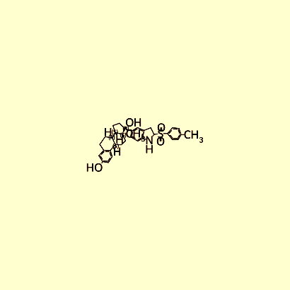 Cc1ccc(S(=O)(=O)C2Cc3cc([C@@]4(O)CC[C@H]5[C@@H]6CCc7cc(O)ccc7[C@H]6CC[C@@]54C)ccc3N2)cc1